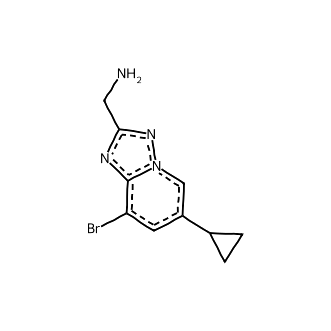 NCc1nc2c(Br)cc(C3CC3)cn2n1